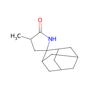 CC1CC2(NC1=O)C1CC3CC(C1)CC2C3